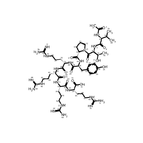 CC(=O)N[C@H](C(=O)N[C@H](C(=O)N1CCC[C@H]1C(=O)N[C@@H](Cc1ccc(O)cc1)C(=O)N[C@@H](CCCNC(=N)N)C(=O)N[C@@H](CCCNC(=N)N)C(=O)N[C@@H](CCCNC(=N)N)C(=O)N[C@@H](CCCNC(=N)N)C(=O)O)[C@@H](C)O)C(C)C